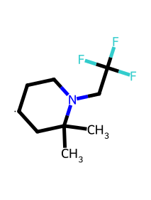 CC1(C)C[CH]CCN1CC(F)(F)F